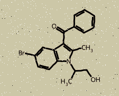 Cc1c(C(=O)c2ccccc2)c2cc(Br)ccc2n1C(C)CO